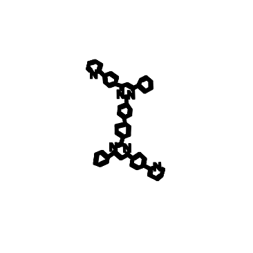 c1ccc(-c2cc(-c3ccc(-c4ccccn4)cc3)nc(-c3ccc(-c4ccc(-c5nc(-c6ccccc6)cc(-c6ccc(-c7ccccn7)cc6)n5)cc4)cc3)n2)cc1